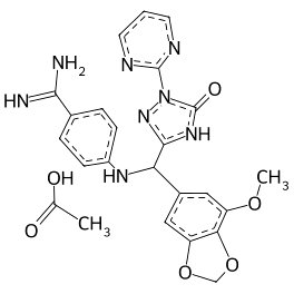 CC(=O)O.COc1cc(C(Nc2ccc(C(=N)N)cc2)c2nn(-c3ncccn3)c(=O)[nH]2)cc2c1OCO2